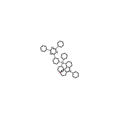 c1ccc(-c2nc(-c3ccccc3)nc(-c3cccc([Si](c4ccccc4)(c4ccccc4)c4cccc5c4c4ccccc4n5-c4ccccc4)c3)n2)cc1